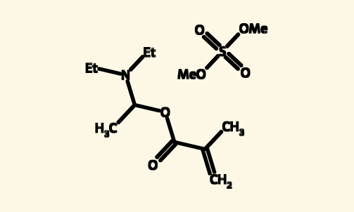 C=C(C)C(=O)OC(C)N(CC)CC.COS(=O)(=O)OC